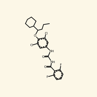 CCCC(Oc1c(Cl)cc(NC(=O)NC(=O)c2c(F)cccc2F)cc1Cl)C1CCCCC1